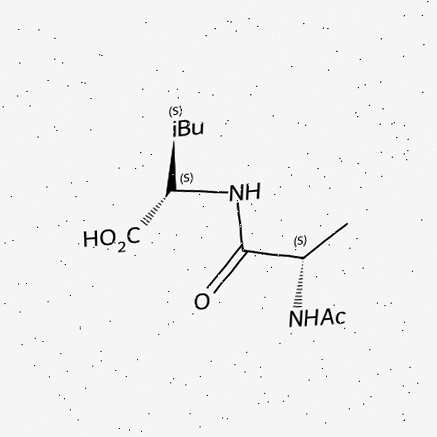 CC[C@H](C)[C@H](NC(=O)[C@H](C)NC(C)=O)C(=O)O